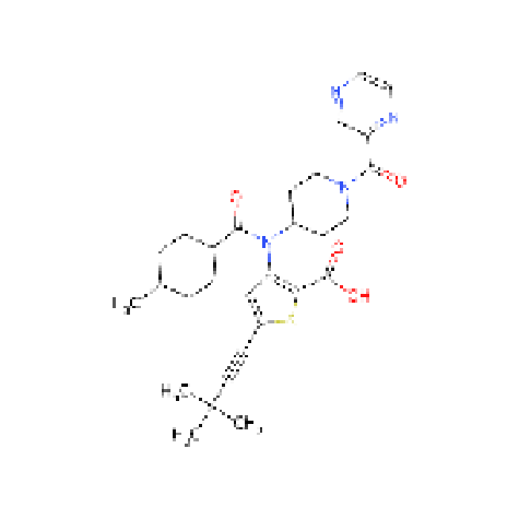 CC1CCC(C(=O)N(c2cc(C#CC(C)(C)C)sc2C(=O)O)C2CCN(C(=O)c3cnccn3)CC2)CC1